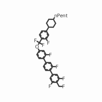 CCCCCC1CCC(c2ccc(C(F)(F)Oc3ccc(-c4ccc(-c5cc(F)c(CF)c(F)c5)c(F)c4)c(F)c3)c(F)c2)CC1